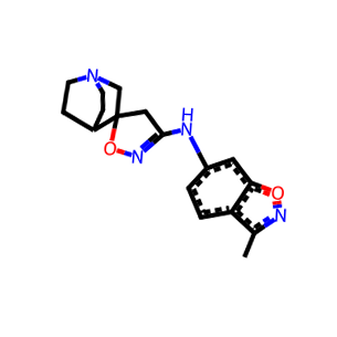 Cc1noc2cc(NC3=NOC4(C3)CN3CCC4CC3)ccc12